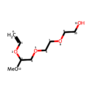 C=COC(COCCOCCO)OC